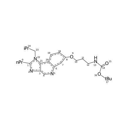 CCCc1nc2cnc3cc(OCCCNC(=O)OC(C)(C)C)ccc3c2n1CC(C)C